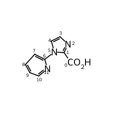 O=C(O)c1nccn1-c1ccccn1